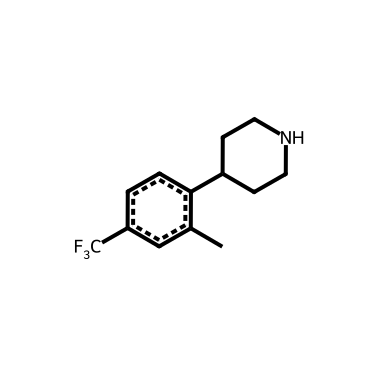 Cc1cc(C(F)(F)F)ccc1C1CCNCC1